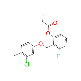 CCC(=O)Oc1cccc(F)c1COc1ccc(C)c(Cl)c1